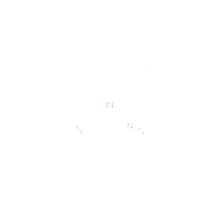 COc1ccc2c(-c3ccc(Cl)cc3)nnc(NC3CCN(Cc4ccc5ccccc5c4)CC3)c2c1